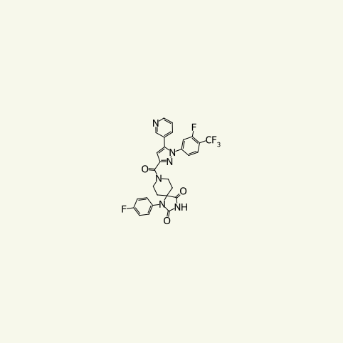 O=C(c1cc(-c2cccnc2)n(-c2ccc(C(F)(F)F)c(F)c2)n1)N1CCC2(CC1)C(=O)NC(=O)N2c1ccc(F)cc1